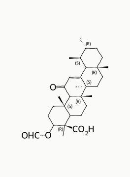 C[C@@H]1CC[C@]2(C)CC[C@]3(C)C(=CC(=O)C4[C@@]5(C)CCC(OC=O)[C@](C)(C(=O)O)C5CC[C@]43C)C2[C@H]1C